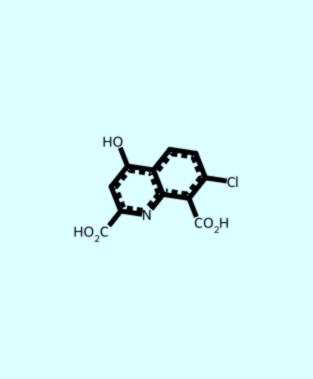 O=C(O)c1cc(O)c2ccc(Cl)c(C(=O)O)c2n1